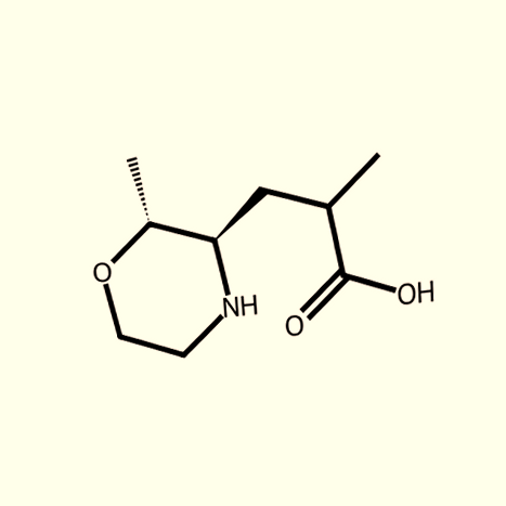 CC(C[C@H]1NCCO[C@@H]1C)C(=O)O